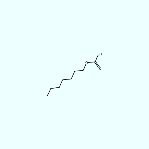 CCCCCCCOC(=S)S